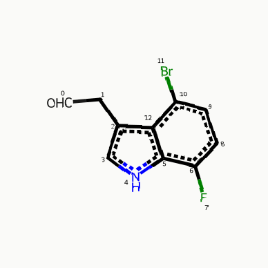 O=CCc1c[nH]c2c(F)ccc(Br)c12